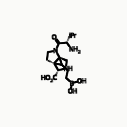 CC(C)[C@H](N)C(=O)N1CC[C@@]23C(CCB(O)O)[C@@]12CN[C@@H]3C(=O)O